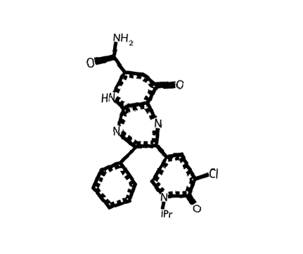 CC(C)n1cc(-c2nc3c(=O)cc(C(N)=O)[nH]c3nc2-c2ccccc2)cc(Cl)c1=O